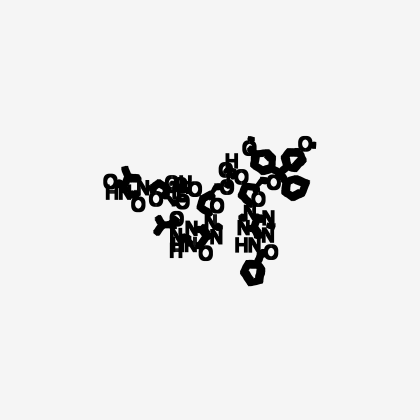 COc1ccc(C(OC[C@H]2O[C@@H](n3cnc4c(NC(=O)c5ccccc5)ncnc43)C[C@@H]2O[PH](=O)OC[C@H]2O[C@@H](n3cnc4c(=O)[nH]c(NC(=O)C(C)C)nc43)C[C@@H]2O[PH](=O)OC[C@H]2O[C@@H](n3cc(C)c(=O)[nH]c3=O)C[C@@H]2O)(c2ccccc2)c2ccc(OC)cc2)cc1